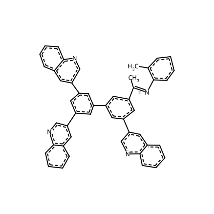 C/C(=N\c1ccccc1C)c1cc(-c2cc(-c3cnc4ccccc4c3)cc(-c3cnc4ccccc4c3)c2)cc(-c2cnc3ccccc3c2)c1